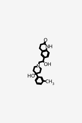 Cc1cccc(C2(O)CCN(CC(O)c3ccc4c(c3)CCC(=O)N4)CC2)c1